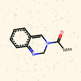 CNC(=O)N1C=c2ccccc2=NC1